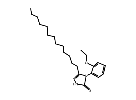 CCCCCCCCCCCCCc1n[nH]c(=S)n1-c1ccccc1OCC